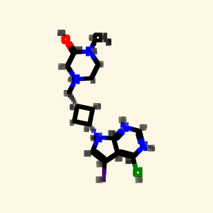 CN1CCN(C[C@H]2C[C@@H](n3cc(I)c4c(Cl)ncnc43)C2)CC1=O